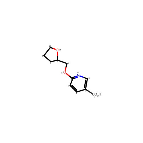 O=C(O)c1ccc(OCC2CCCO2)nc1